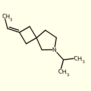 CC=C1CC2(CCN(C(C)C)C2)C1